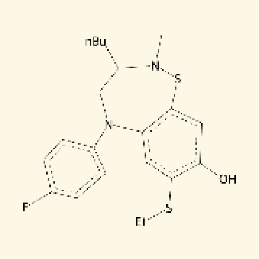 CCCCC1CN(c2ccc(F)cc2)c2cc(SCC)c(O)cc2SN1C